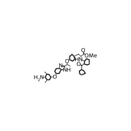 COC(=O)[C@H](Cc1ccc(OC(C)c2nc3ccc(Oc4cc(C)c(N)c(C)c4)cc3[nH]2)cc1)Nc1ccccc1C(=O)c1ccccc1